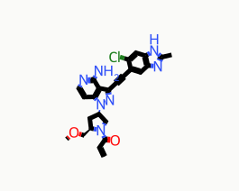 C=CC(=O)N1C[C@@H](n2nc(C#Cc3cc4nc(C)[nH]c4cc3Cl)c3c(N)nccc32)C[C@@H]1COC